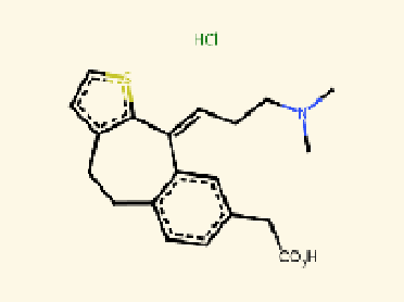 CN(C)CCC=C1c2cc(CC(=O)O)ccc2CCc2ccsc21.Cl